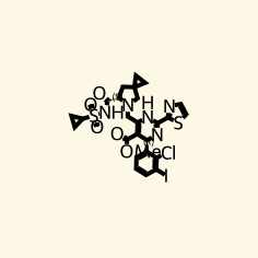 COC(=O)C1=C(CN2CC3(CC3)C[C@H]2C(=O)NS(=O)(=O)C2CC2)NC(c2nccs2)=N[C@H]1c1cccc(I)c1Cl